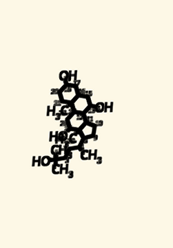 CC(CCC(C)(C)O)C1CCC2C3C(O)CC4CC(O)CCC4(C)C3CC(O)C12C